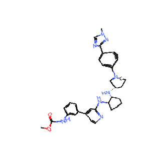 COC(=O)Nc1cccc(-c2ccnc(N[C@@H]3CCCC[C@H]3N[C@H]3CCCN(c4ccc(-c5ncn(C)n5)cc4)C3)c2)c1